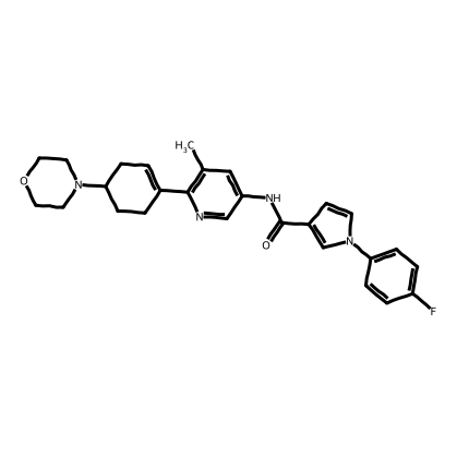 Cc1cc(NC(=O)c2ccn(-c3ccc(F)cc3)c2)cnc1C1=CCC(N2CCOCC2)CC1